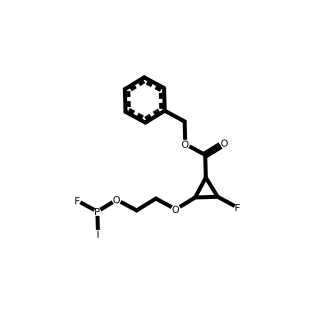 O=C(OCc1ccccc1)C1C(F)C1OCCOP(F)I